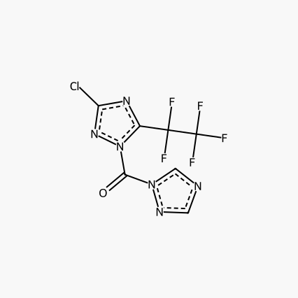 O=C(n1cncn1)n1nc(Cl)nc1C(F)(F)C(F)(F)F